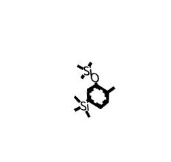 Cc1ccc([Si](C)(C)C)cc1O[Si](C)(C)C